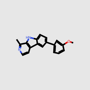 COc1cccc(-c2ccc3[nH]c4c(C)nccc4c3c2)c1